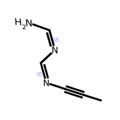 CC#C/N=C\N=C/N